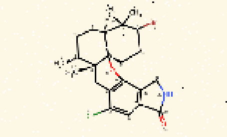 C[C@H]1CC[C@H]2C(C)(C)C(Br)CC[C@]23Oc2c(c(Cl)cc4c2CNC4=O)C[C@]13C